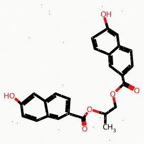 CC(COC(=O)c1ccc2cc(O)ccc2c1)OC(=O)c1ccc2cc(O)ccc2c1